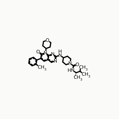 Cc1ccccc1-c1cc2cnc(NC3CCN(C(=O)N[C@@H](C)C(C)C)CC3)nc2n(C2CCOCC2)c1=O